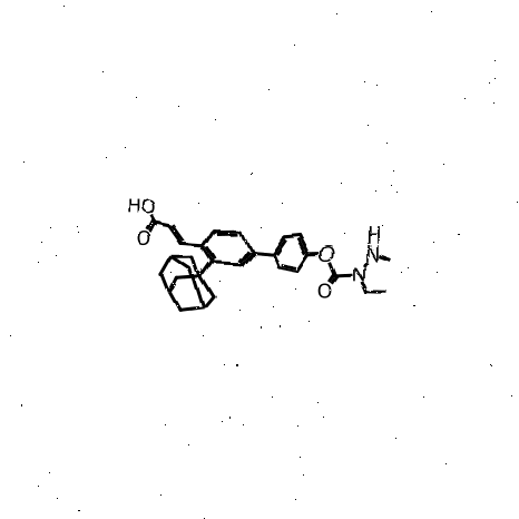 CCN(NC)C(=O)Oc1ccc(-c2ccc(C=CC(=O)O)c(C34CC5CC(CC(C5)C3)C4)c2)cc1